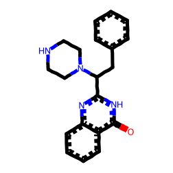 O=c1[nH]c(C(Cc2ccccc2)N2CCNCC2)nc2ccccc12